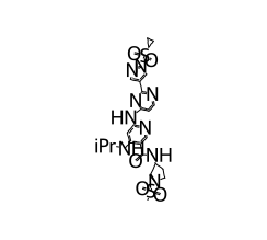 CC(C)Nc1cc(Nc2ccnc(-c3cnn(S(=O)(=O)C4CC4)c3)n2)ncc1C(=O)NC1CCN(S(C)(=O)=O)C1